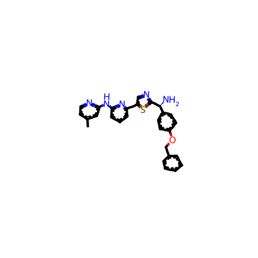 Cc1ccnc(Nc2cccc(-c3cnc([C@H](N)c4ccc(OCc5ccccc5)cc4)s3)n2)c1